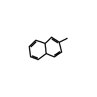 CC1=CC2C=CC=CC2C=C1